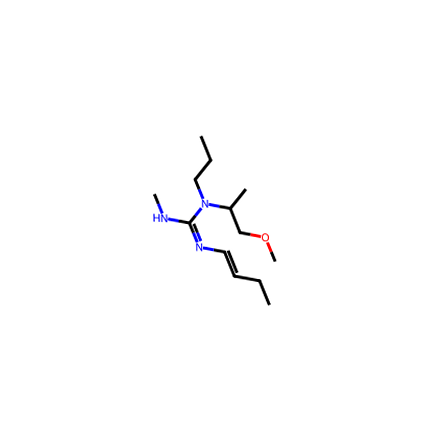 CC/C=C/N=C(/NC)N(CCC)C(C)COC